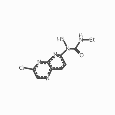 CCNC(=O)N(S)c1ccc2ncc(Cl)nc2n1